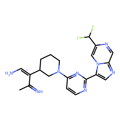 CC(=N)/C(=C\N)C1CCCN(c2ccnc(-c3cnc4cnc(C(F)F)cn34)n2)C1